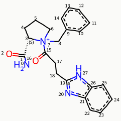 NC(=O)[C@@H]1CCC[N+]1(Cc1ccccc1)C(=O)CCc1nc2ccccc2[nH]1